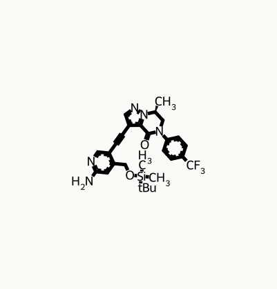 C[C@H]1CN(c2ccc(C(F)(F)F)cc2)C(=O)c2c(C#Cc3cnc(N)cc3CO[Si](C)(C)C(C)(C)C)cnn21